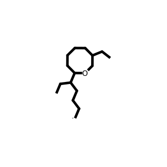 [CH2]CCCC(CC)[C]1CCCCC(CC)CO1